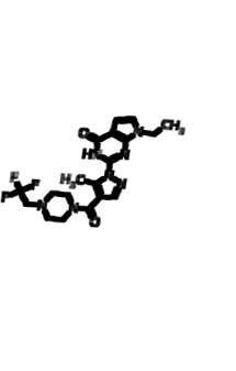 CCn1ccc2c(=O)[nH]c(-n3ncc(C(=O)N4CCN(CC(F)(F)F)CC4)c3C)nc21